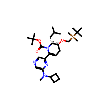 CC(C)C[C@@H]1[C@@H](OCS(C)(C)C(C)(C)C)CC=C(c2cncc(N(C)C3CCC3)n2)N1C(=O)OC(C)(C)C